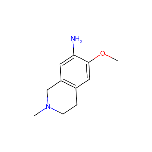 COc1cc2c(cc1N)CN(C)CC2